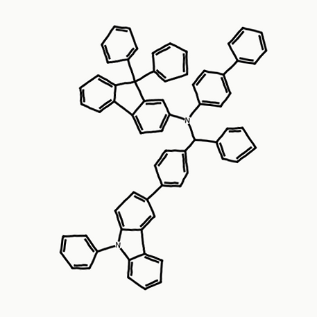 c1ccc(-c2ccc(N(c3ccc4c(c3)C(c3ccccc3)(c3ccccc3)c3ccccc3-4)C(c3ccccc3)c3ccc(-c4ccc5c(c4)c4ccccc4n5-c4ccccc4)cc3)cc2)cc1